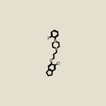 Fc1ccccc1N1CCN(CCCOc2cc3c(cc2Cl)CCC3)CC1